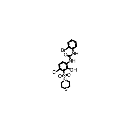 O=C(Nc1ccccc1Br)Nc1ccc(Cl)c(S(=O)(=O)N2CCSCC2)c1O